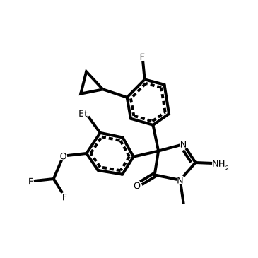 CCc1cc(C2(c3ccc(F)c(C4CC4)c3)N=C(N)N(C)C2=O)ccc1OC(F)F